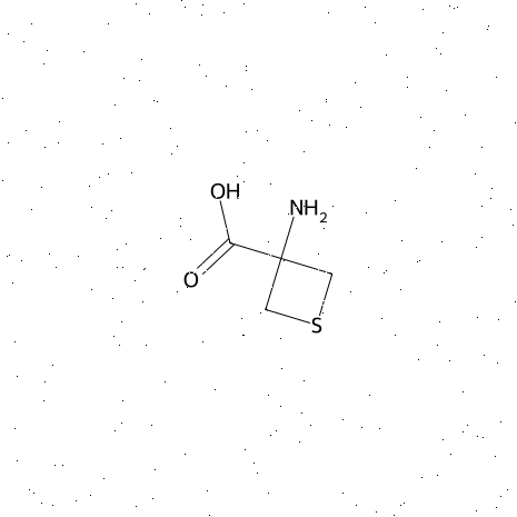 NC1(C(=O)O)CSC1